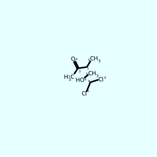 CCC(C)=O.CO.ClCCl